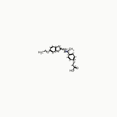 CCOc1ccc2nc(N/N=C(\C)c3ccc(OCC(=O)O)cc3)sc2c1